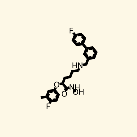 Cc1cc(OC(CCCCNCc2cccc(-c3ccc(F)cc3)c2)C(=O)NO)ccc1F